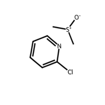 C[S+](C)[O-].Clc1ccccn1